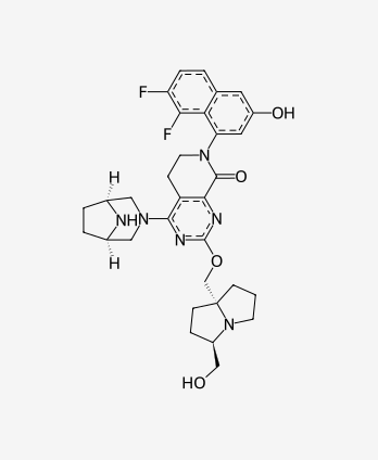 O=C1c2nc(OC[C@]34CCCN3[C@@H](CO)CC4)nc(N3C[C@H]4CC[C@@H](C3)N4)c2CCN1c1cc(O)cc2ccc(F)c(F)c12